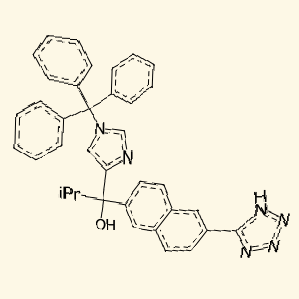 CC(C)C(O)(c1ccc2cc(-c3nnn[nH]3)ccc2c1)c1cn(C(c2ccccc2)(c2ccccc2)c2ccccc2)cn1